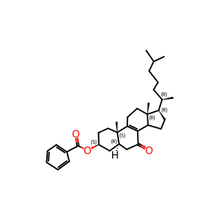 CC(C)CCC[C@@H](C)[C@H]1CCC2C3=C(CC[C@@]21C)[C@@]1(C)CC[C@H](OC(=O)c2ccccc2)C[C@@H]1CC3=O